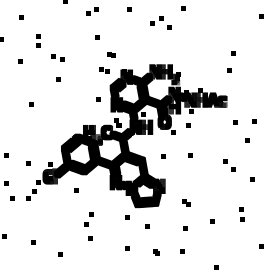 CC(=O)NNC(=O)c1c(N)ncnc1NC(C)c1cc2nccn2nc1-c1cccc(Cl)c1